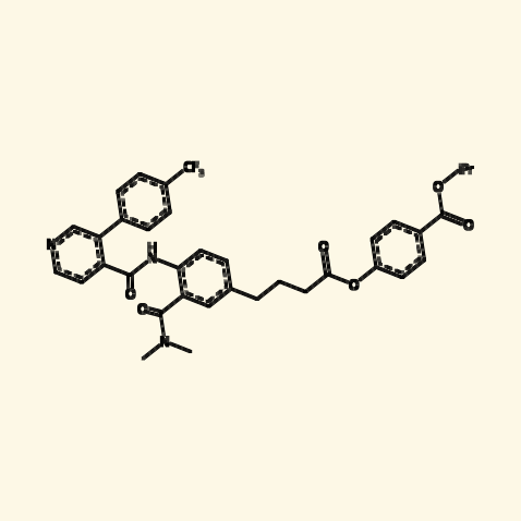 CC(C)OC(=O)c1ccc(OC(=O)CCCc2ccc(NC(=O)c3ccncc3-c3ccc(C(F)(F)F)cc3)c(C(=O)N(C)C)c2)cc1